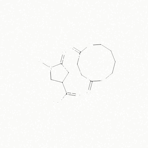 CN1CC(C(=O)O)CC1=O.O=C1CCC(=O)OCCCCO1